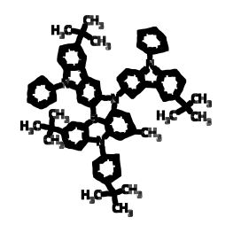 Cc1cc2c3c(c1)N(c1ccc4c(c1)c1cc(C(C)(C)C)ccc1n4-c1ccccc1)c1cc4c5cc(C(C)(C)C)ccc5n(-c5ccccc5)c4cc1B3c1cc(C(C)(C)C)ccc1N2c1ccc(C(C)(C)C)cc1